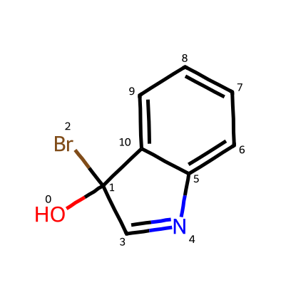 OC1(Br)C=Nc2ccccc21